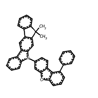 CC1(C)c2ccccc2-c2cc3c4ccccc4n(-c4ccc5c(c4)oc4cccc(-c6ccccc6)c45)c3cc21